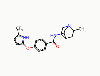 CC1CC2CCN1CC2NC(=O)c1ccc(Oc2ccc(C(F)(F)F)[nH]2)cc1